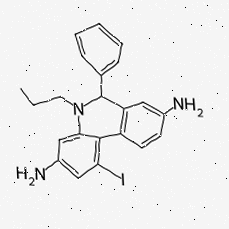 CCCN1c2cc(N)cc(I)c2-c2ccc(N)cc2C1c1ccccc1